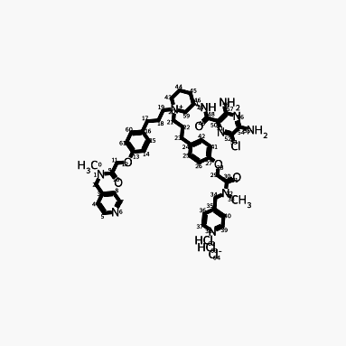 CN(Cc1ccncc1)C(=O)COc1ccc(CCC[N+]2(CCCc3ccc(OCC(=O)N(C)Cc4ccncc4)cc3)CCC[C@H](NC(=O)c3nc(Cl)c(N)nc3N)C2)cc1.Cl.Cl.[Cl-]